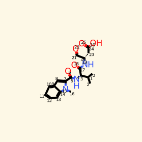 CC(C)[C@H](NC(=O)c1cc2ccccc2n1C)C(=O)N[C@H](C=O)CC(=O)O